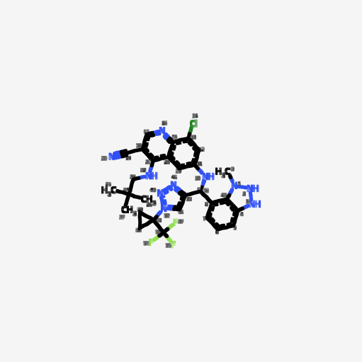 CN1NNc2cccc([C@H](Nc3cc(Cl)c4ncc(C#N)c(NCC(C)(C)C)c4c3)c3cn(C4(C(F)(F)F)CC4)nn3)c21